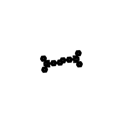 c1ccc(-c2nc(-c3ccccc3)nc(-c3ccc(-c4ccc5cc(-c6ccc(-c7nc(-c8ccccc8)nc(-c8ccccc8)n7)cc6)ccc5c4)cc3)n2)cc1